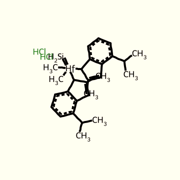 CC1=Cc2c(C(C)C)cccc2[CH]1[Hf]([CH3])([CH3])(=[SiH2])[CH]1C(C)=Cc2c(C(C)C)cccc21.Cl.Cl